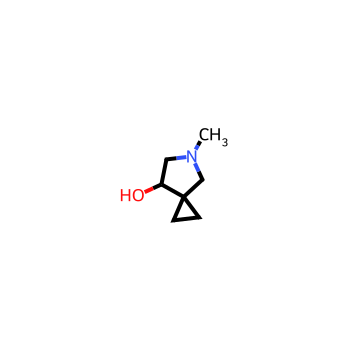 CN1CC(O)C2(CC2)C1